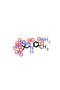 Cc1cc2c(cc1S(N)(=O)=O)S(=O)(=O)NC(CC(CO[N+](=O)[O-])(CO[N+](=O)[O-])CO[N+](=O)[O-])N2